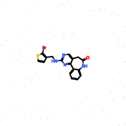 O=C1Cc2cnc(NCc3ccsc3Br)nc2-c2ccccc2N1